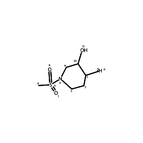 [2H]C1CCN(S(C)(=O)=O)CC1O